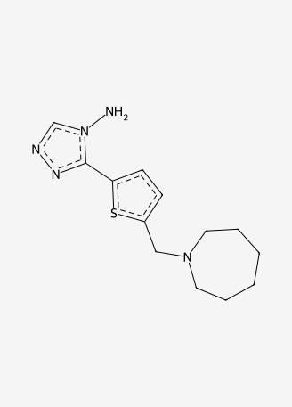 Nn1cnnc1-c1ccc(CN2CCCCCC2)s1